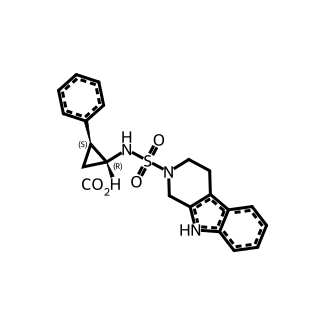 O=C(O)[C@@]1(NS(=O)(=O)N2CCc3c([nH]c4ccccc34)C2)C[C@H]1c1ccccc1